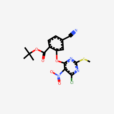 CSc1nc(Cl)c([N+](=O)[O-])c(Oc2cc(C#N)ccc2C(=O)OC(C)(C)C)n1